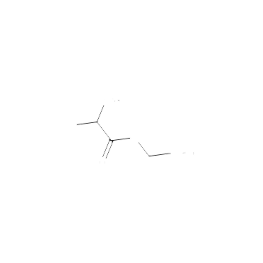 CCCCCCCCOC(=O)C(CC)CCCCC